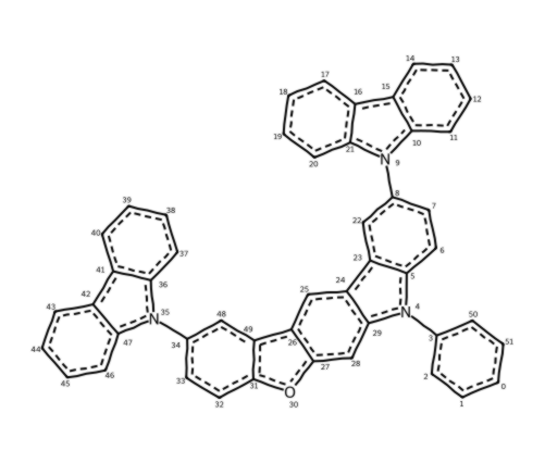 c1ccc(-n2c3ccc(-n4c5ccccc5c5ccccc54)cc3c3cc4c(cc32)oc2ccc(-n3c5ccccc5c5ccccc53)cc24)cc1